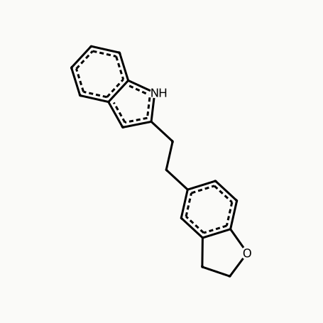 c1ccc2[nH]c(CCc3ccc4c(c3)CCO4)cc2c1